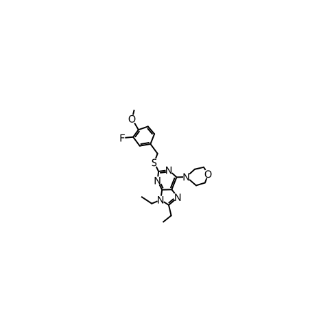 CCc1nc2c(N3CCOCC3)nc(SCc3ccc(OC)c(F)c3)nc2n1CC